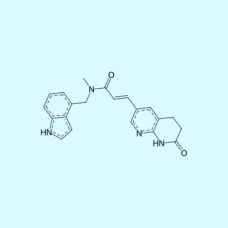 CN(Cc1cccc2[nH]ccc12)C(=O)/C=C/c1cnc2c(c1)CCC(=O)N2